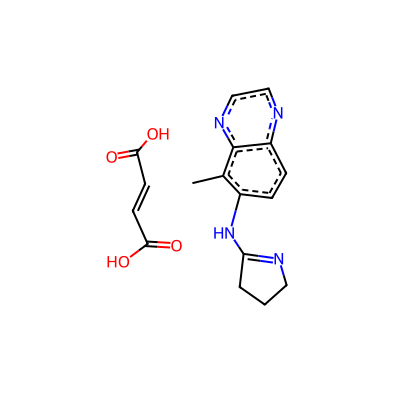 Cc1c(NC2=NCCC2)ccc2nccnc12.O=C(O)/C=C/C(=O)O